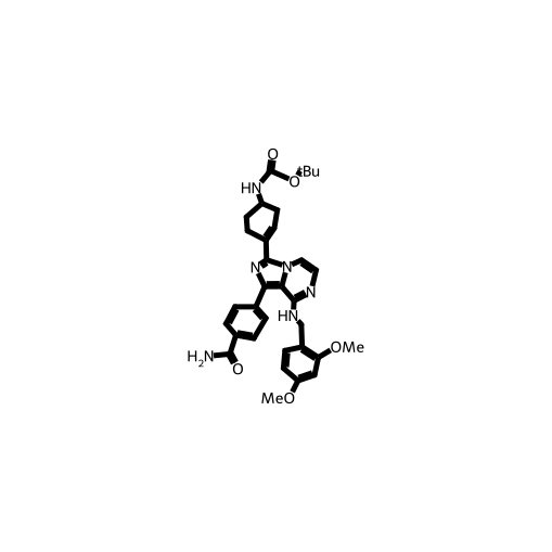 COc1ccc(CNc2nccn3c(C4=CCC(NC(=O)OC(C)(C)C)CC4)nc(-c4ccc(C(N)=O)cc4)c23)c(OC)c1